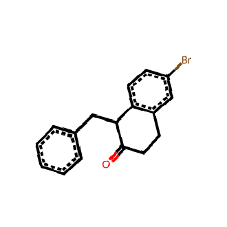 O=C1CCc2cc(Br)ccc2C1Cc1ccccc1